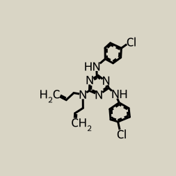 C=CCN(CC=C)c1nc(Nc2ccc(Cl)cc2)nc(Nc2ccc(Cl)cc2)n1